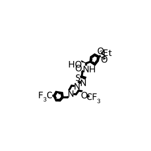 CCS(=O)(=O)c1ccc([C@H](CO)NC(=O)c2cnc(N3CCN(Cc4ccc(C(F)(F)F)cc4)CC3COC(F)(F)F)s2)cc1